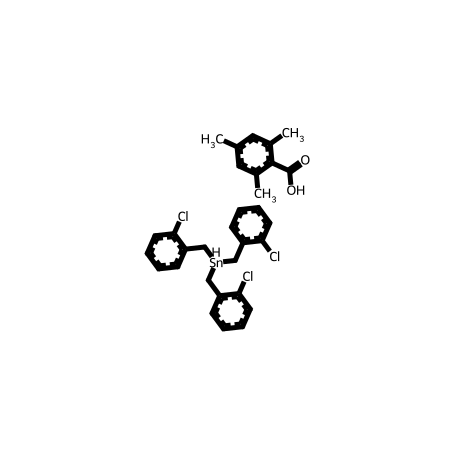 Cc1cc(C)c(C(=O)O)c(C)c1.Clc1ccccc1[CH2][SnH]([CH2]c1ccccc1Cl)[CH2]c1ccccc1Cl